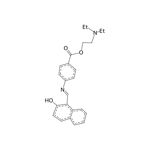 CCN(CC)CCOC(=O)c1ccc(/N=C/c2c(O)ccc3ccccc23)cc1